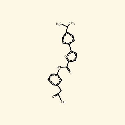 CC(C)c1ccc(-c2ccc(C(=O)Nc3cccc(CC(=O)O)c3)o2)cc1